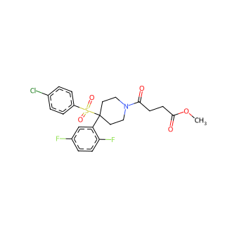 COC(=O)CCC(=O)N1CCC(c2cc(F)ccc2F)(S(=O)(=O)c2ccc(Cl)cc2)CC1